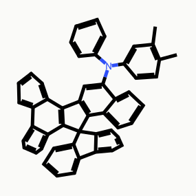 Cc1ccc(N(c2ccccc2)c2cc3c(c4ccccc24)C2(c4ccccc4-c4ccccc42)c2c-3c3ccccc3c3ccccc23)cc1C